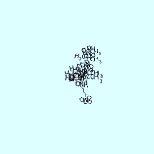 CCC(C)[C@@H](C(CC(=O)N1CCC(C(OC)C(C)C(=O)NC(C)C(O)c2ccccc2)C1)OC)N(C)C(=O)C(NC(=O)C(C(C)C)N(C)P(=O)(O)OC(CCc1cccnc1)C(=O)NCCCCCC(=O)N1C(=O)C=CC1=O)C(C)C